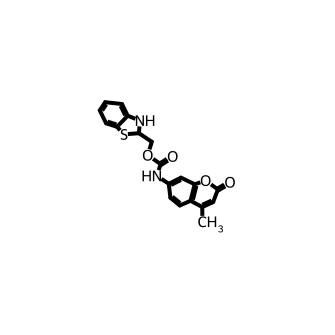 Cc1cc(=O)oc2cc(NC(=O)OCC3Nc4ccccc4S3)ccc12